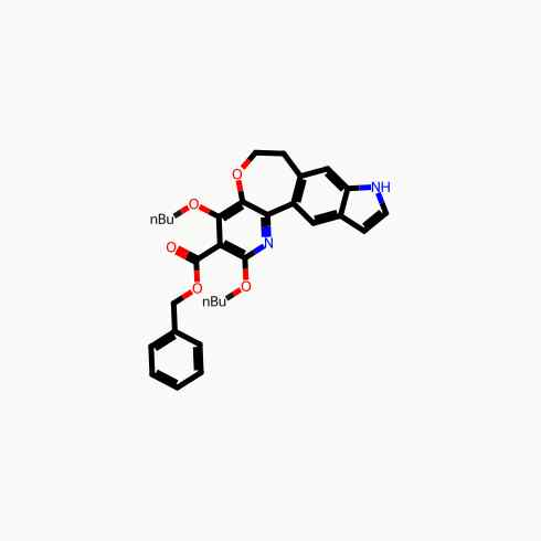 CCCCOc1nc2c(c(OCCCC)c1C(=O)OCc1ccccc1)OCCc1cc3[nH]ccc3cc1-2